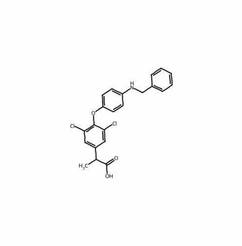 CC(C(=O)O)c1cc(Cl)c(Oc2ccc(NCc3ccccc3)cc2)c(Cl)c1